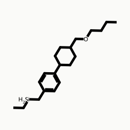 CCCCOCC1CCC(c2ccc(C[SiH2]CC)cc2)CC1